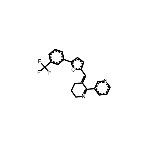 FC(F)(F)c1cccc(-c2ccc(C=C3CCCN=C3c3cccnc3)o2)c1